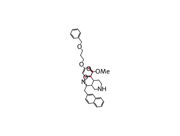 COC(=O)CO/N=C(/Cc1ccc2ccccc2c1)C1CNCCC1c1ccc(OCCCOCc2ccccc2)cc1